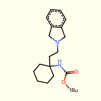 CC(C)(C)OC(=O)NC1(CCN2Cc3ccccc3C2)CCCCC1